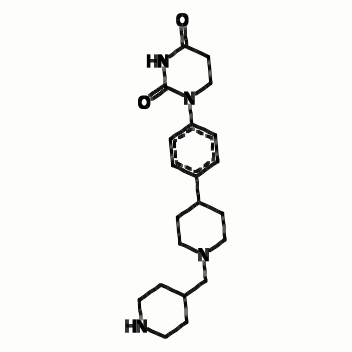 O=C1CCN(c2ccc(C3CCN(CC4CCNCC4)CC3)cc2)C(=O)N1